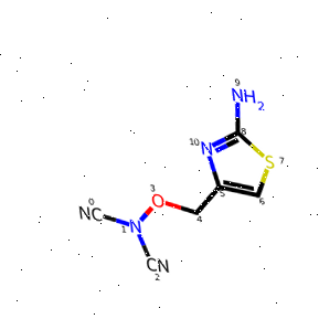 N#CN(C#N)OCc1csc(N)n1